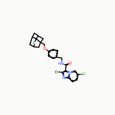 CCc1nc2ccc(Cl)cn2c1C(=O)NCc1ccc(OCC23CC4CC5CC(C2)C53C4)cc1